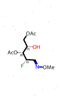 CON=C[C@H](F)[C@H](OC(C)=O)[C@@H](O)COC(C)=O